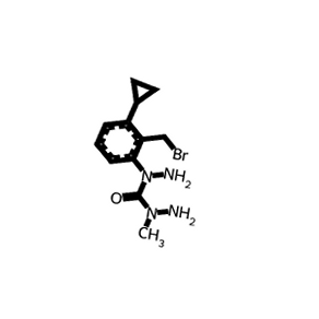 CN(N)C(=O)N(N)c1cccc(C2CC2)c1CBr